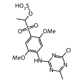 COc1cc(S(=O)(=O)C(C)OS(=O)(=O)O)c(OC)cc1Nc1nc(C)nc(Cl)n1